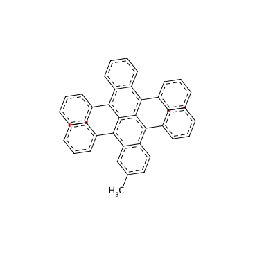 Cc1ccc2c(-c3ccccc3)c3c(-c4ccccc4)c4ccccc4c(-c4ccccc4)c3c(-c3ccccc3)c2c1